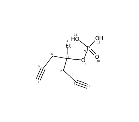 C#CCC(CC)(CC#C)OP(=O)(O)O